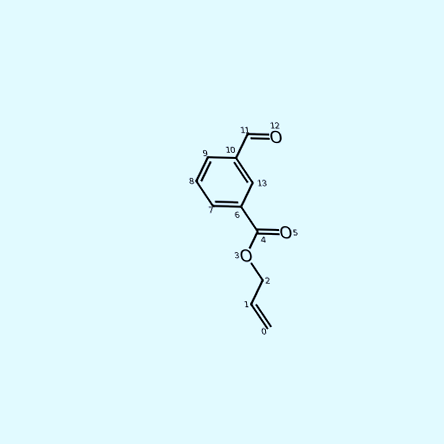 C=CCOC(=O)c1cccc(C=O)c1